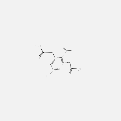 O=C(O)Cc1cc(O)cc(CC(=O)O)c1I(=O)=O